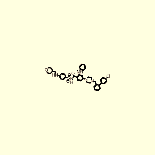 O=C(NS(=O)(=O)c1ccc(NCC2CCOCC2)cc1)c1ccc(N2CCN(Cc3ccccc3-c3ccc(Cl)cc3)CC2)cc1Nc1ccccc1